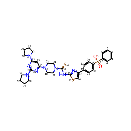 O=S(=O)(c1ccccc1)c1ccc(-c2csc(NC(=S)N3CCN(c4cc(N5CCCC5)nc(N5CCCC5)n4)CC3)n2)cc1